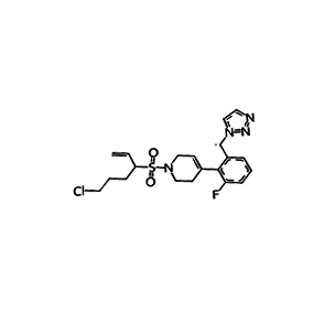 C=CC(CCCCl)S(=O)(=O)N1CC=C(c2c(F)cccc2[CH]n2ccnn2)CC1